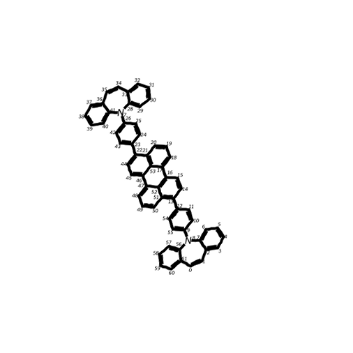 C1=Cc2ccccc2N(c2ccc(-c3ccc4c5cccc6c(-c7ccc(N8c9ccccc9C=Cc9ccccc98)cc7)ccc(c7cccc3c74)c65)cc2)c2ccccc21